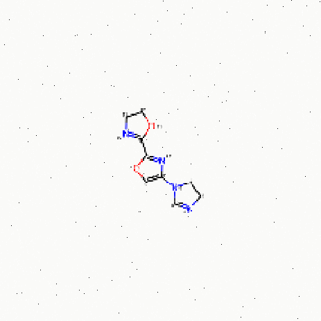 C1=NCCN1c1coc(C2=NCCO2)n1